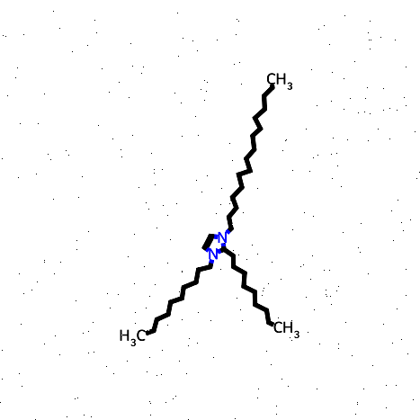 CCCCCCCCCCCCCCCCN1C=CN(CCCCCCCCCC)C1CCCCCCCCC